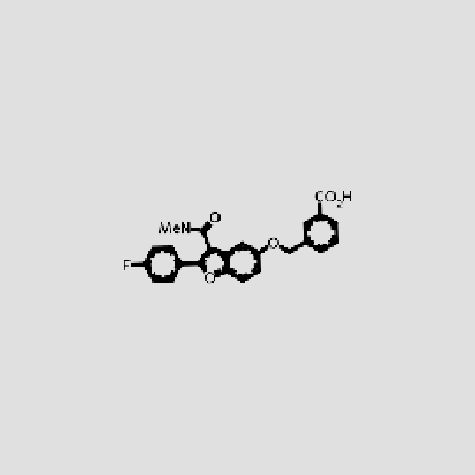 CNC(=O)c1c(-c2ccc(F)cc2)oc2ccc(OCc3cccc(C(=O)O)c3)cc12